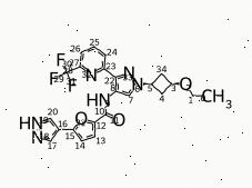 CCO[C@H]1C[C@@H](n2cc(NC(=O)c3ccc(-c4cn[nH]c4)o3)c(-c3cccc(C(F)(F)F)n3)n2)C1